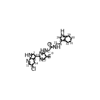 C[C@H](Nc1nc(-c2c[nH]c3ncc(Cl)cc23)ncc1F)C(=O)NCCc1c[nH]c2ccccc12